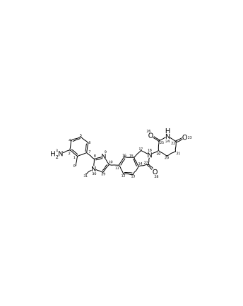 Cc1c(N)cccc1-c1nc(-c2ccc3c(c2)CN(C2CCC(=O)NC2=O)C3=O)cn1C